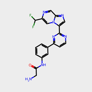 NCC(=O)Nc1cccc(-c2ccnc(-c3cnc4cnc(C(F)F)cn34)n2)c1